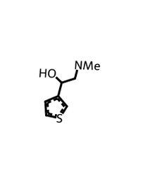 CNCC(O)c1ccsc1